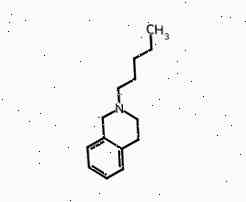 CCCCCN1[CH]c2ccccc2CC1